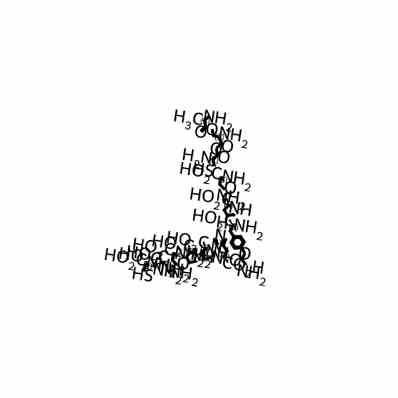 C[C@H](N)C(=O)OC[C@H](N)C(=O)OC(=O)[C@@H](N)CS.NC(=O)C[C@H](N)C(=O)O.NC(=O)C[C@H](N)C(=O)O.NCC(=O)O.NCC(=O)O.NCC(=O)Oc1ccc(C[C@H](N)C(=O)O)cc1.N[C@@H](CS)C(=O)O.N[C@@H](Cc1c[nH]cn1)C(=O)O.O=C(O)[C@@H]1CCCN1.O=C(O)[C@@H]1CCCN1.O=C(O)[C@@H]1CCCN1